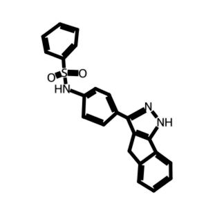 O=S(=O)(Nc1ccc(-c2n[nH]c3c2Cc2ccccc2-3)cc1)c1ccccc1